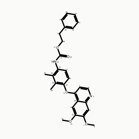 COc1cc2nccc(Oc3ccc(NC(=O)OCCc4ccccc4)c(C)c3C)c2cc1OC